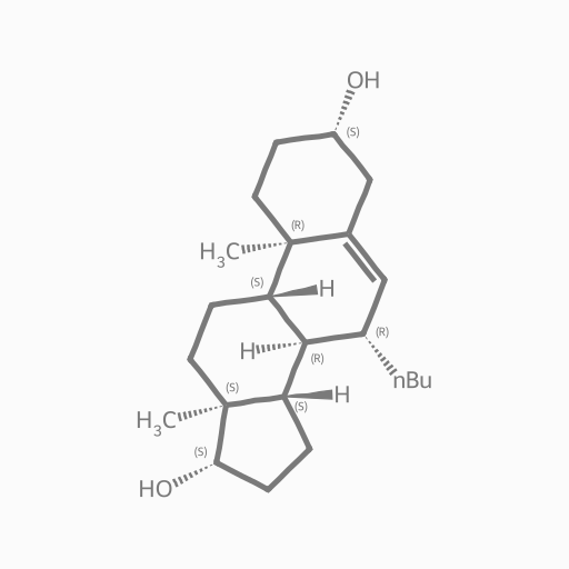 CCCC[C@H]1C=C2C[C@@H](O)CC[C@]2(C)[C@H]2CC[C@]3(C)[C@@H](O)CC[C@H]3[C@H]12